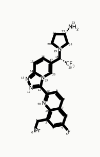 CC(C)Cc1cc(F)cc2ccc(-c3nnc4ccc([C@H](N5CC[C@H](N)C5)C(F)(F)F)cn34)nc12